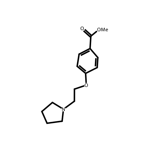 COC(=O)c1ccc(OCCN2CCCC2)cc1